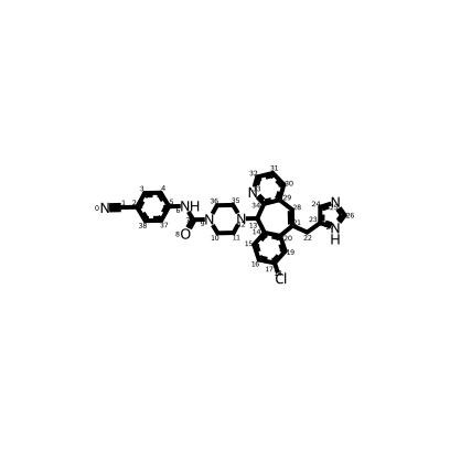 N#Cc1ccc(NC(=O)N2CCN(C3c4ccc(Cl)cc4C(Cc4cnc[nH]4)=Cc4cccnc43)CC2)cc1